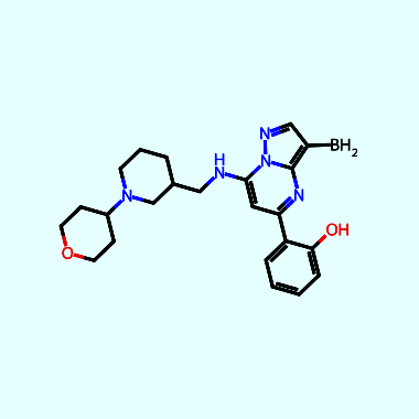 Bc1cnn2c(NCC3CCCN(C4CCOCC4)C3)cc(-c3ccccc3O)nc12